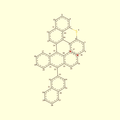 c1ccc2c(c1)Sc1cccc3ccc(-c4c5ccccc5c(-c5ccc6ccccc6c5)c5ccccc45)c-2c13